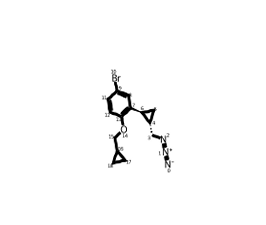 [N-]=[N+]=NC[C@H]1C[C@@H]1c1cc(Br)ccc1OCC1CC1